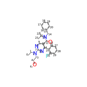 CCN(CCOC)c1ncc(C(=O)N(Cc2ccccc2)C(C)C)c(-c2ccccc2F)n1